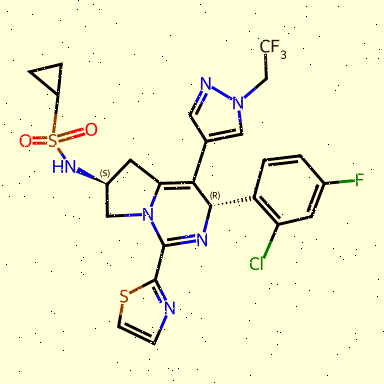 O=S(=O)(N[C@H]1CC2=C(c3cnn(CC(F)(F)F)c3)[C@H](c3ccc(F)cc3Cl)N=C(c3nccs3)N2C1)C1CC1